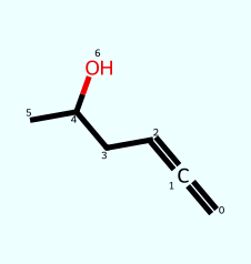 C=C=CCC(C)O